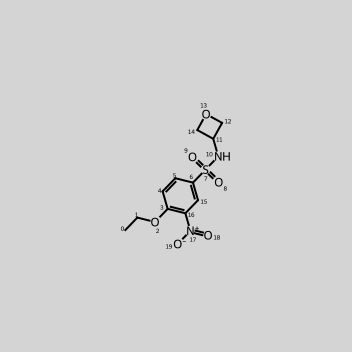 CCOc1ccc(S(=O)(=O)NC2COC2)cc1[N+](=O)[O-]